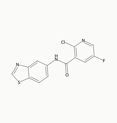 O=C(Nc1ccc2scnc2c1)c1cc(F)cnc1Cl